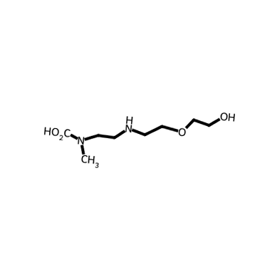 CN(CCNCCOCCO)C(=O)O